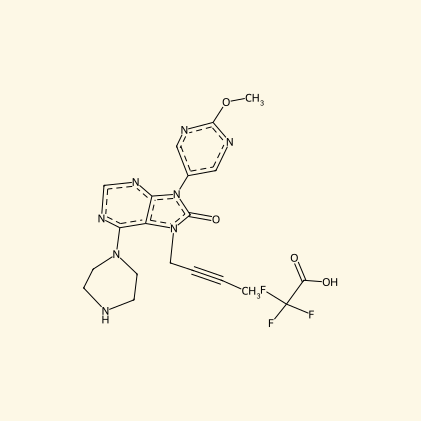 CC#CCn1c(=O)n(-c2cnc(OC)nc2)c2ncnc(N3CCNCC3)c21.O=C(O)C(F)(F)F